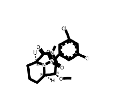 CO[C@H]1CN(C)C(=O)[C@@H]2CCC[C@H]1N2S(=O)(=O)c1cc(Cl)cc(Cl)c1